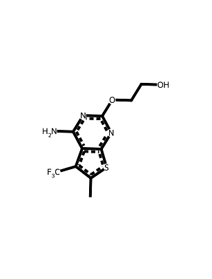 Cc1sc2nc(OCCO)nc(N)c2c1C(F)(F)F